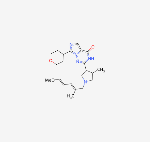 COC=CC=C(C)CN1CC(C)C(c2nn3c(C4CCOCC4)ncc3c(=O)[nH]2)C1